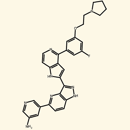 Nc1cncc(-c2ccc3[nH]nc(-c4cc5c(-c6cc(F)cc(OCCN7CCCC7)c6)nccc5[nH]4)c3n2)c1